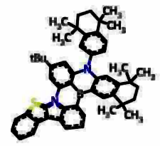 CC(C)(C)c1cc2c3c(c1)-n1c4sc5ccccc5c4c4cccc(c41)B3c1cc3c(cc1N2c1ccc2c(c1)C(C)(C)CCC2(C)C)C(C)(C)CCC3(C)C